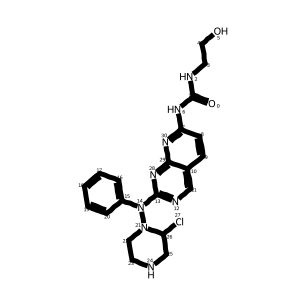 O=C(NCCO)Nc1ccc2cnc(N(c3ccccc3)N3CCNCC3Cl)nc2n1